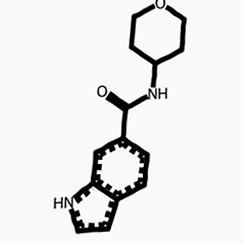 O=C(NC1CCOCC1)c1ccc2cc[nH]c2c1